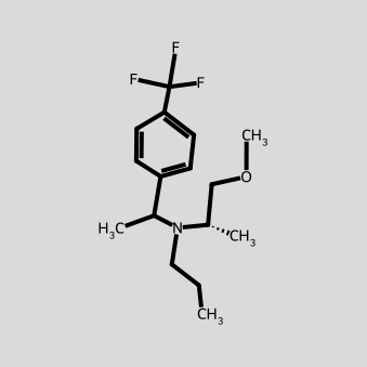 CCCN(C(C)c1ccc(C(F)(F)F)cc1)[C@@H](C)COC